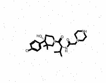 CC(C)[C@@H](NC(=O)CN1CCNCC1)C(=O)N1CC[C@](O)(c2ccc(Cl)cc2)C(C)(C)C1